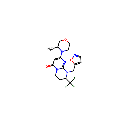 CC1COCCN1c1cc(=O)n2c(n1)N(Cc1ccno1)C(C(F)(F)F)CC2